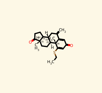 C=C1C[C@@H]2[C@H](CC[C@]3(C)C(=O)CC[C@@H]23)[C@@]2(C)C(SCC)=CC(=O)C=C12